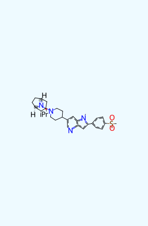 CC(C)CN1[C@@H]2CC[C@H]1CC(N1CCC(c3cnc4cc(-c5ccc(S(C)(=O)=O)cc5)n(C)c4c3)CC1)C2